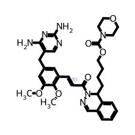 COc1cc(Cc2cnc(N)nc2N)cc(/C=C/C(=O)N2N=Cc3ccccc3C2CCCCOC(=O)N2CCOCC2)c1OC